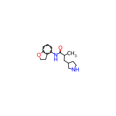 CC(CC1CCNC1)C(=O)Nc1cccc2c1CCO2